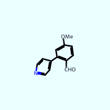 COc1ccc(C=O)c(-c2ccncc2)c1